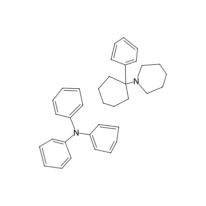 c1ccc(C2(N3CCCCC3)CCCCC2)cc1.c1ccc(N(c2ccccc2)c2ccccc2)cc1